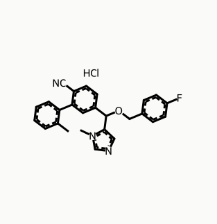 Cc1ccccc1-c1cc(C(OCc2ccc(F)cc2)c2cncn2C)ccc1C#N.Cl